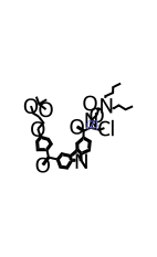 CCCCN(CCCC)C(=O)O/N=C(\CCl)C(=O)c1ccc2c(c1)c1cc(C(=O)c3ccc(OCC4COC(C)(C)O4)cc3)ccc1n2C